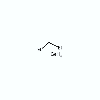 CCCCC.[GeH4]